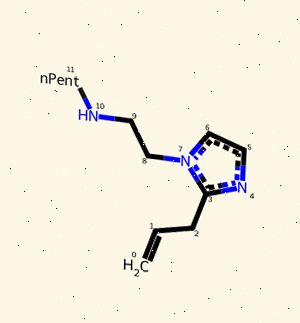 C=CCc1nccn1CCNCCCCC